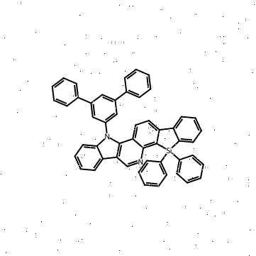 c1ccc(-c2cc(-c3ccccc3)cc(-n3c4ccccc4c4cnc5c6c(ccc5c43)-c3ccccc3[Si]6(c3ccccc3)c3ccccc3)c2)cc1